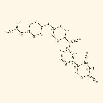 NC(=O)ON1CCC(CN2CCN(C(=O)c3cccc(N4CCC(=O)NC4=O)c3)CC2)CC1